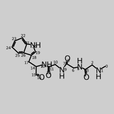 CNCC(=O)NCC(=O)NCC(=O)NC(C=O)Cc1c[nH]c2ccccc12